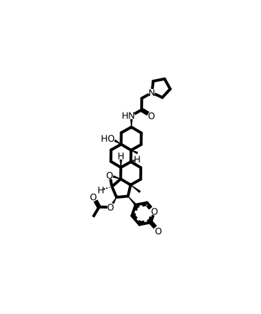 CC(=O)O[C@H]1[C@H]2O[C@]23[C@@H]2CC[C@]4(O)C[C@@H](NC(=O)CN5CCCC5)CC[C@]4(C)[C@H]2CC[C@]3(C)[C@H]1c1ccc(=O)oc1